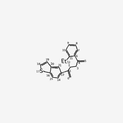 C=C(CCC(=C)c1ccccc1CC)c1ccc2sccc2c1